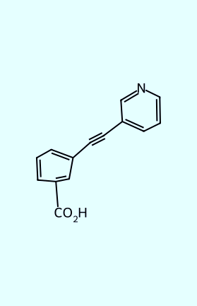 O=C(O)c1cccc(C#Cc2cccnc2)c1